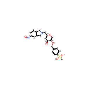 CS(=O)(=O)c1ccc(COc2coc(CN3Cc4ccc(N=O)cc4C3)cc2=O)cc1